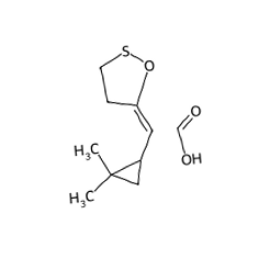 CC1(C)CC1C=C1CCSO1.O=CO